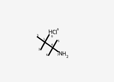 CC(C)(C)C(C)(C)N.Cl